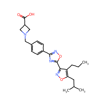 CCCc1c(-c2nc(-c3ccc(CN4CC(C(=O)O)C4)cc3)no2)noc1CC(C)C